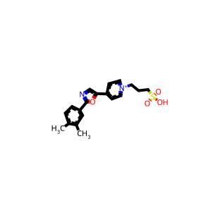 Cc1ccc(-c2ncc(-c3cc[n+](CCCS(=O)(=O)O)cc3)o2)cc1C